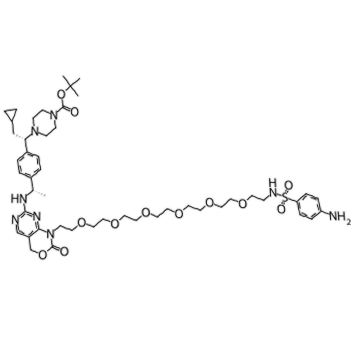 C[C@H](Nc1ncc2c(n1)N(CCOCCOCCOCCOCCOCCOCCNS(=O)(=O)c1ccc(N)cc1)C(=O)OC2)c1ccc([C@H](CC2CC2)N2CCN(C(=O)OC(C)(C)C)CC2)cc1